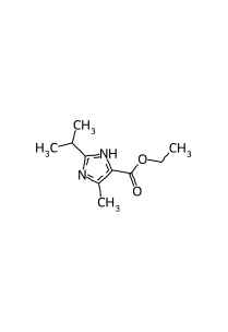 CCOC(=O)c1[nH]c(C(C)C)nc1C